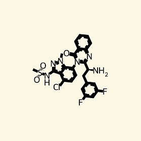 Cn1nc(NS(C)(=O)=O)c2c(Cl)ccc(-n3c([C@@H](N)Cc4cc(F)cc(F)c4)nc4ccccc4c3=O)c21